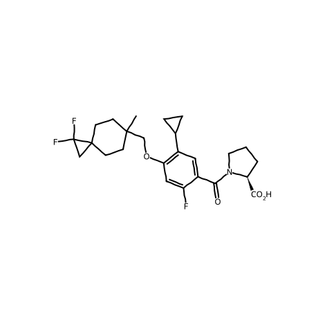 CC1(COc2cc(F)c(C(=O)N3CCC[C@H]3C(=O)O)cc2C2CC2)CCC2(CC1)CC2(F)F